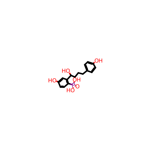 O=P(O)(O)c1ccc(O)cc1C(O)CCCc1ccc(O)cc1